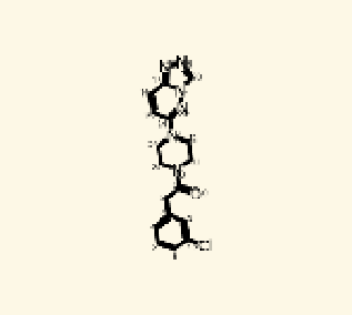 O=C(Cc1cccc(Cl)c1)N1CCN(c2ccc3nncn3n2)CC1